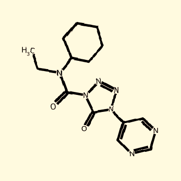 CCN(C(=O)n1nnn(-c2cncnc2)c1=O)C1CCCCC1